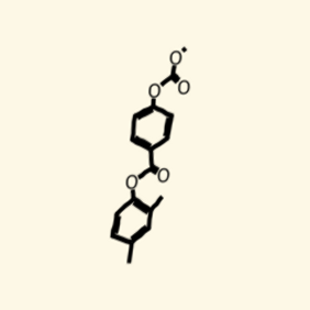 COC(=O)Oc1ccc(C(=O)Oc2ccc(C)cc2C)cc1